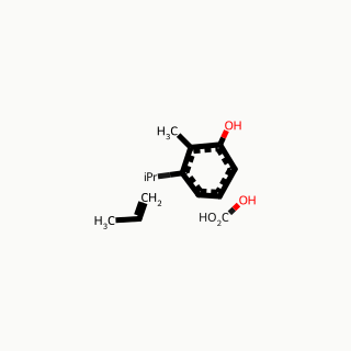 C=CC.Cc1c(O)cccc1C(C)C.O=C(O)O